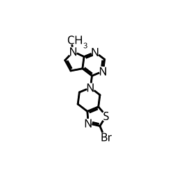 Cn1ccc2c(N3CCc4nc(Br)sc4C3)ncnc21